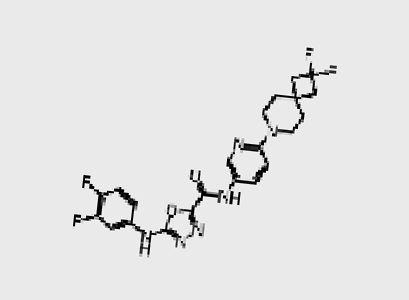 O=C(Nc1ccc(N2CCC3(CC2)CC(F)(F)C3)nc1)c1nnc(Nc2ccc(F)c(F)c2)o1